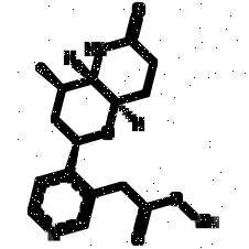 C[C@@H]1C[C@H](c2ccncc2CC(=O)OC(C)(C)C)O[C@@H]2CCC(=O)N[C@@H]12